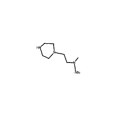 CCCCN(C)CCN1CCNCC1